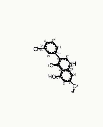 COc1cc(O)c2c(=O)c(-c3cccc(Cl)c3)c[nH]c2c1